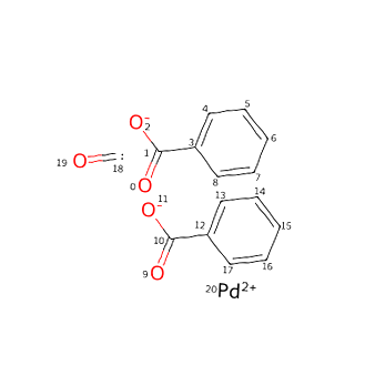 O=C([O-])c1ccccc1.O=C([O-])c1ccccc1.[C]=O.[Pd+2]